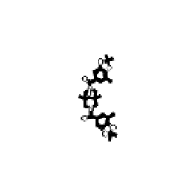 Cc1cc(C(=O)N2CC3(C)CN(C(=O)c4cc(C)c5c(c4)OC(C)(C)O5)CC(C)(C2)C3=O)cc2c1OC(C)(C)O2